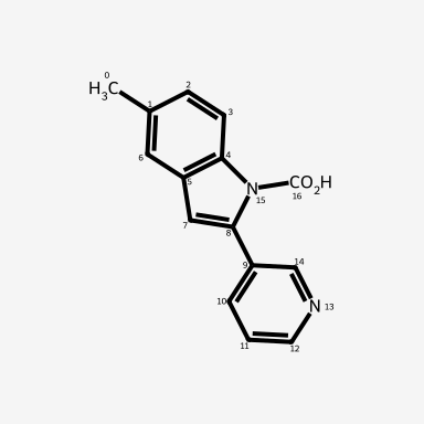 Cc1ccc2c(c1)cc(-c1cccnc1)n2C(=O)O